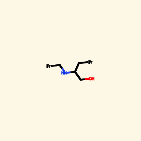 CC(C)CNC(CO)CC(C)C